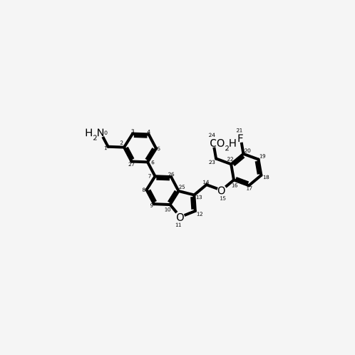 NCc1cccc(-c2ccc3occ(COc4cccc(F)c4CC(=O)O)c3c2)c1